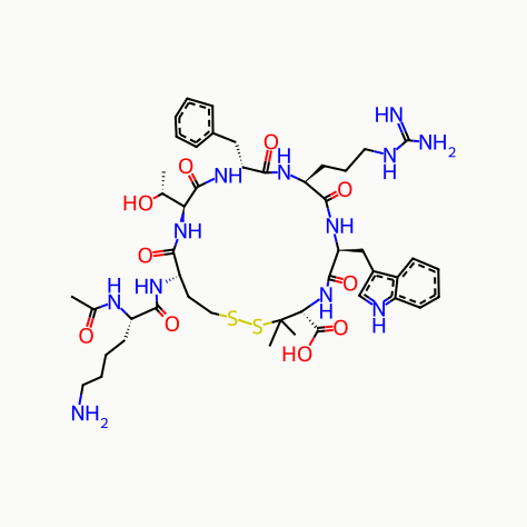 CC(=O)N[C@@H](CCCCN)C(=O)N[C@H]1CCSSC(C)(C)[C@@H](C(=O)O)NC(=O)[C@H](Cc2c[nH]c3ccccc23)NC(=O)[C@H](CCCNC(=N)N)NC(=O)[C@@H](Cc2ccccc2)NC(=O)[C@H]([C@@H](C)O)NC1=O